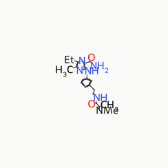 CCc1nc(C(N)=O)c(Nc2cccc(CCNC(=O)C(C)NC)c2)nc1C